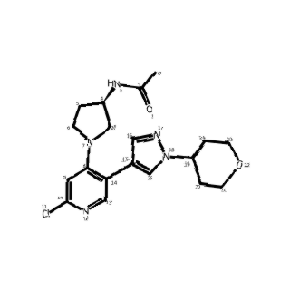 CC(=O)N[C@@H]1CCN(c2cc(Cl)ncc2-c2cnn(C3CCOCC3)c2)C1